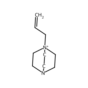 C=CC[N+]12CCN(CC1)CC2